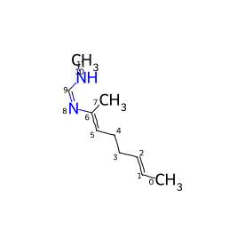 C/C=C/CC/C=C(C)/N=C\NC